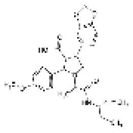 CCC(CC)NC(=O)C(C)N1CC(c2ccc3c(c2)OCO3)C(C(=O)O)C1c1ccc(OC)cc1